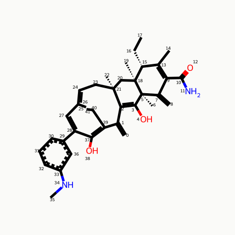 C=C1C2=C(O)[C@]3(C)C(=C)C(C(N)=O)=C(C)[C@@H](CC)[C@]3(C)C[C@]2(C)C/C=C(C)/C=C(c2cccc(NC)c2)\C(O)=C\1CC